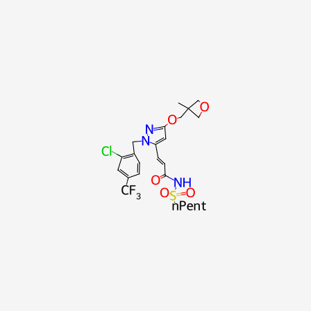 CCCCCS(=O)(=O)NC(=O)C=Cc1cc(OCC2(C)COC2)nn1Cc1ccc(C(F)(F)F)cc1Cl